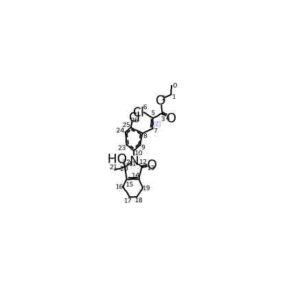 CCOC(=O)/C(Cl)=C/c1cc(N2C(=O)C3=C(CCCC3)C2(C)O)ccc1Cl